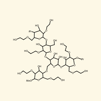 COC1OC(COCCO)C(OCC2OC(OC3C(COCCO)OC(OC(C)C)C(OCCO)C3O)C(O)C(O)C2OC2OC(CO)C(OC3OC(COCCO)C(C(C)C)C(O)C3OCCO)C(O)C2OCCO)C(O)C1OCCO